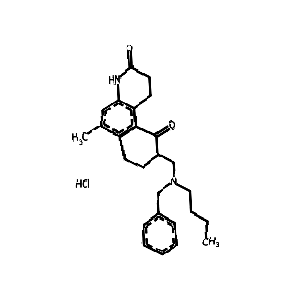 CCCCN(Cc1ccccc1)CC1CCc2c(C)cc3c(c2C1=O)CCC(=O)N3.Cl